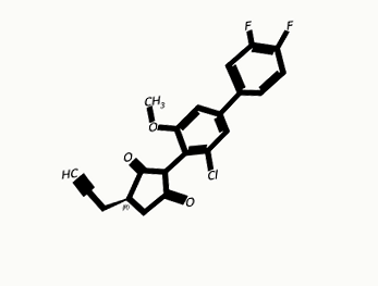 C#CC[C@@H]1CC(=O)C(c2c(Cl)cc(-c3ccc(F)c(F)c3)cc2OC)C1=O